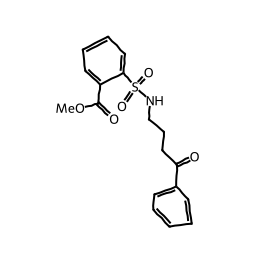 COC(=O)c1ccccc1S(=O)(=O)NCCCC(=O)c1ccccc1